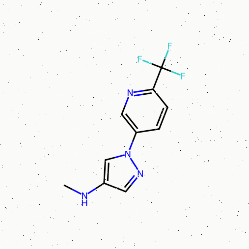 CNc1cnn(-c2ccc(C(F)(F)F)nc2)c1